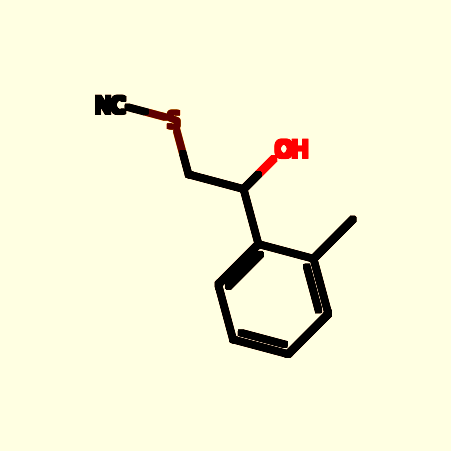 Cc1ccccc1C(O)CSC#N